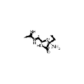 CC[C@](N)(SCCNC(C)=N)C(=O)O